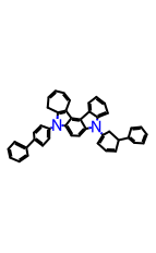 C1=CCc2c(c3c4c5ccccc5n(C5=CC=CC(c6ccccc6)C5)c4ccc3n2-c2ccc(-c3ccccc3)cc2)C=C1